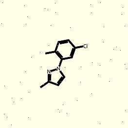 Cc1ccn(-c2cc(Cl)ccc2C)n1